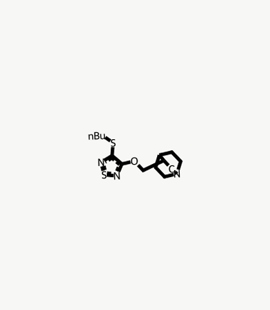 CCCCSc1nsnc1OCC1CN2CCC1CC2